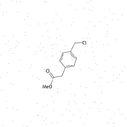 COC(=O)Cc1[c]cc(CCl)cc1